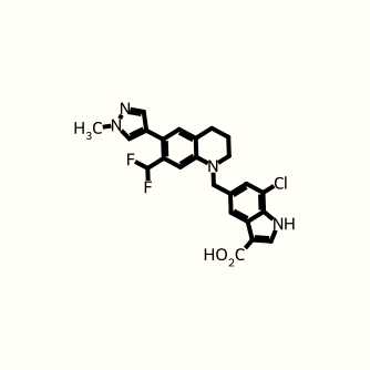 Cn1cc(-c2cc3c(cc2C(F)F)N(Cc2cc(Cl)c4[nH]cc(C(=O)O)c4c2)CCC3)cn1